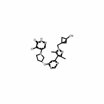 Cc1nn(CC23CC(C#N)(C2)C3)c(C)c1-c1cc(O[C@@H]2CCN(c3cn[nH]c(=O)c3Cl)C2)ncn1